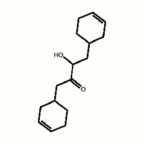 O=C(CC1CC=CCC1)C(O)CC1CC=CCC1